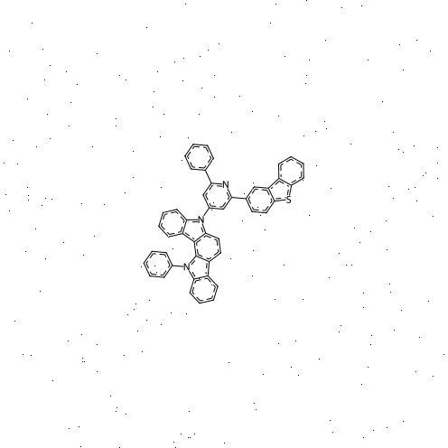 c1ccc(-c2cc(-n3c4ccccc4c4c3ccc3c5ccccc5n(-c5ccccc5)c34)cc(-c3ccc4sc5ccccc5c4c3)n2)cc1